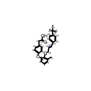 Cc1cccc(Oc2ccc(CC(=O)O)cc2)c1OC/C=C/c1ccc(C(F)(F)F)cc1